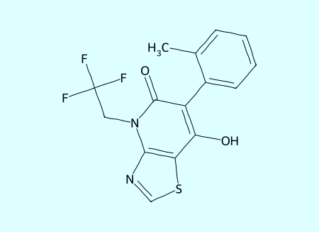 Cc1ccccc1-c1c(O)c2scnc2n(CC(F)(F)F)c1=O